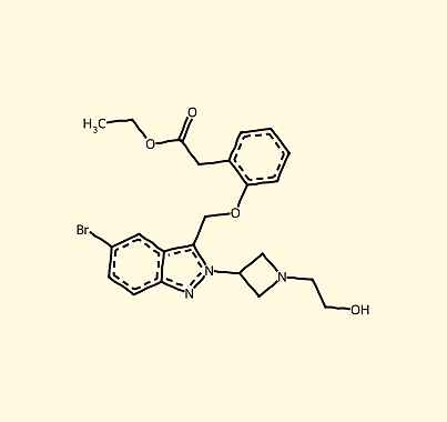 CCOC(=O)Cc1ccccc1OCc1c2cc(Br)ccc2nn1C1CN(CCO)C1